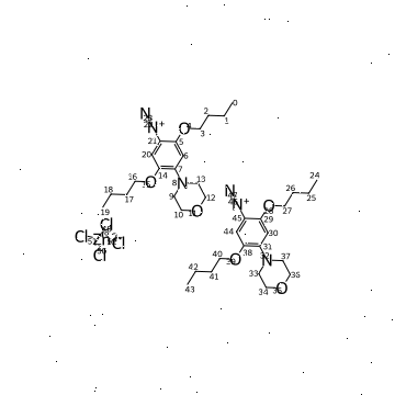 CCCCOc1cc(N2CCOCC2)c(OCCCC)cc1[N+]#N.CCCCOc1cc(N2CCOCC2)c(OCCCC)cc1[N+]#N.[Cl][Zn-2]([Cl])([Cl])[Cl]